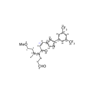 COCCN(C)N(CCC=O)C(=O)/C=C\n1cnc(-c2cc(C(F)(F)F)cc(C(F)(F)F)c2)n1